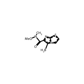 Bc1c(C(=O)N(C)OC)nc2sccn12